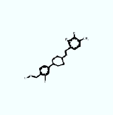 CCOCc1ccc(C2CCC(/C=C/c3ccc(C)c(F)c3F)CC2)cc1F